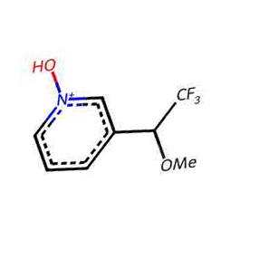 COC(c1ccc[n+](O)c1)C(F)(F)F